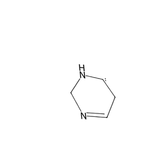 [C]1CC=NCN1